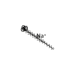 CCCCCCCCCCCCCCCCCCCCCCCCCCS(=O)(=O)[O-].[Na+]